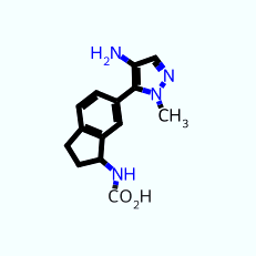 Cn1ncc(N)c1-c1ccc2c(c1)C(NC(=O)O)CC2